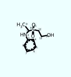 CC(Nc1ccccc1)S(=O)(=O)CCO